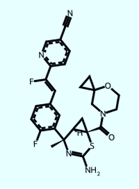 C[C@]1(c2cc(/C=C(\F)c3ccc(C#N)cn3)ccc2F)N=C(N)S[C@@]2(C(=O)N3CCOC4(CC4)C3)C[C@H]21